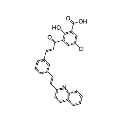 O=C(O)c1cc(Cl)cc(C(=O)C=Cc2cccc(C=Cc3ccc4ccccc4n3)c2)c1O